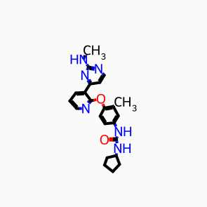 CNc1nccc(-c2cccnc2Oc2ccc(NC(=O)NC3CCCC3)cc2C)n1